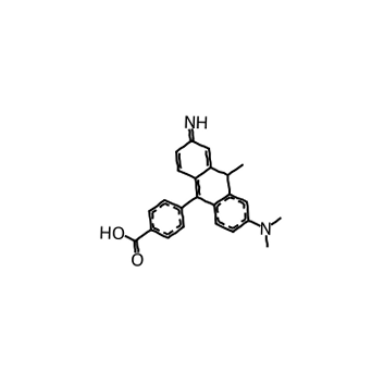 CC1C2=CC(=N)C=CC2=C(c2ccc(C(=O)O)cc2)c2ccc(N(C)C)cc21